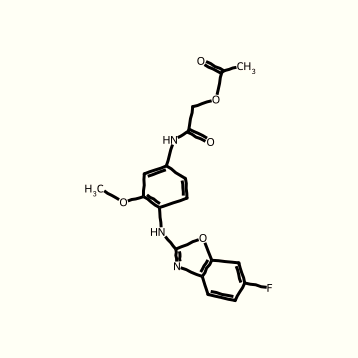 COc1cc(NC(=O)COC(C)=O)ccc1Nc1nc2ccc(F)cc2o1